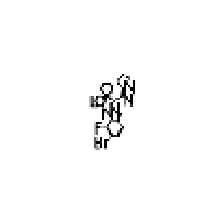 O=C([O-])C(c1ncn2c1CCC2)n1cc2ccc(Br)c(F)c2n1.[Li+]